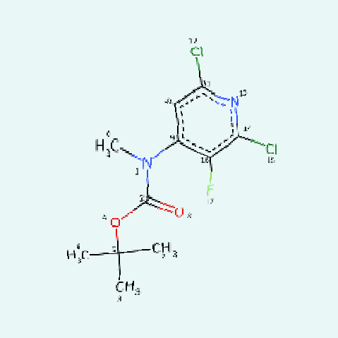 CN(C(=O)OC(C)(C)C)c1cc(Cl)nc(Cl)c1F